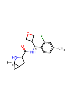 Cc1ccc([C@H](NC(=O)C2CC3C[C@H]3N2)C2COC2)c(F)c1